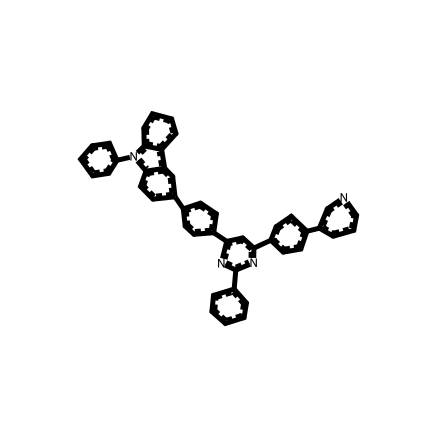 c1ccc(-c2nc(-c3ccc(-c4cccnc4)cc3)cc(-c3ccc(-c4ccc5c(c4)c4ccccc4n5-c4ccccc4)cc3)n2)cc1